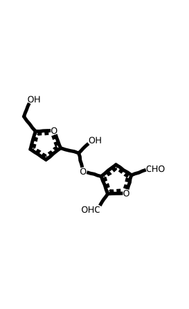 O=Cc1cc(OC(O)c2ccc(CO)o2)c(C=O)o1